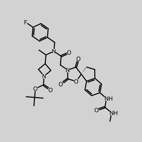 CNC(=O)Nc1ccc2c(c1)CC[C@@]21OC(=O)N(CC(=O)N(Cc2ccc(F)cc2)C(C)C2CN(C(=O)OC(C)(C)C)C2)C1=O